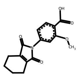 COc1cc(N2C(=O)C3=C(CCCC3)C2=O)ccc1C(=O)O